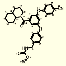 CC(C)(C)OC(=O)NCc1ccc(Oc2cc(Oc3ccc(C#N)cc3)cc(C(=O)N3CCCC4CCCCC43)c2)cc1